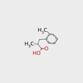 Cc1ccccc1CC(C)C(=O)O